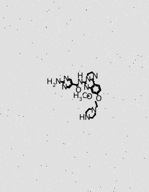 COc1c(OCCN2CCNCC2)ccc2c1N=C(NC(=O)c1cnc(N)nc1)N1CCN=C21